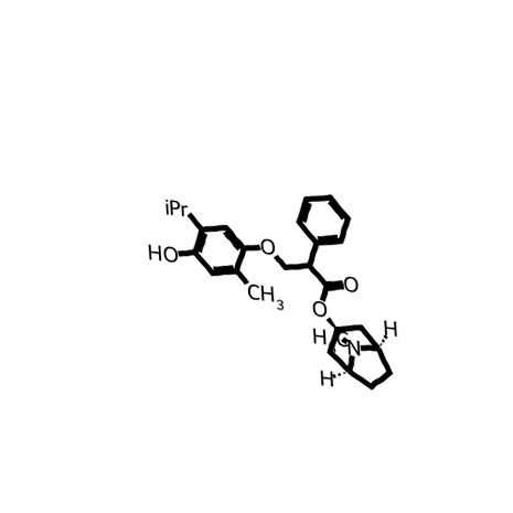 Cc1cc(O)c(C(C)C)cc1OCC(C(=O)O[C@H]1C[C@H]2CC[C@@H](C1)N2C)c1ccccc1